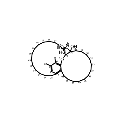 Cc1cc2c3c(c1C)OC(O)(C(=O)OCCCCCCCCCCCC2)C(O)(C(=O)O)CCCCCCCCCCCC3